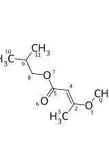 COC(C)=CC(=O)OCC(C)C